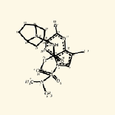 CN(C)S(=O)(=O)n1cc(I)c2nc(Br)c(N3C4CCC3CC(NC(=O)OC(C)(C)C)C4)nc21